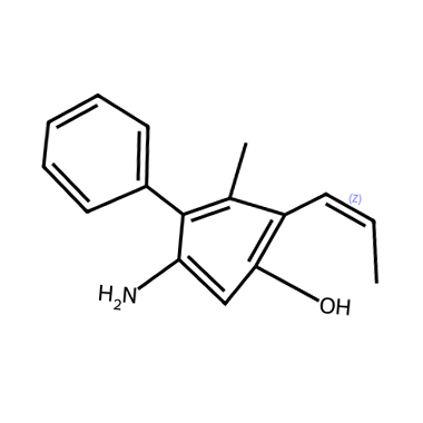 C/C=C\c1c(O)cc(N)c(-c2ccccc2)c1C